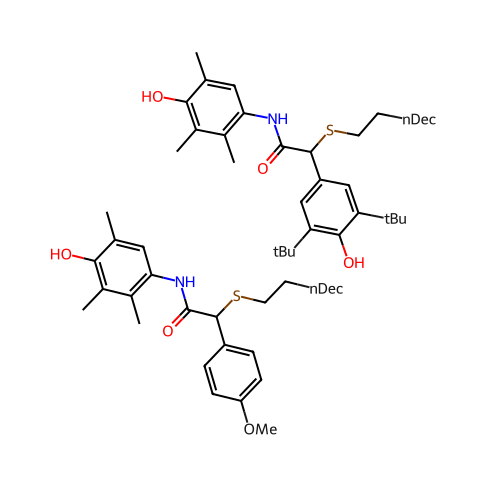 CCCCCCCCCCCCSC(C(=O)Nc1cc(C)c(O)c(C)c1C)c1cc(C(C)(C)C)c(O)c(C(C)(C)C)c1.CCCCCCCCCCCCSC(C(=O)Nc1cc(C)c(O)c(C)c1C)c1ccc(OC)cc1